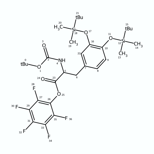 CC(C)(C)OC(=O)NC(Cc1ccc(O[Si](C)(C)C(C)(C)C)c(O[Si](C)(C)C(C)(C)C)c1)C(=O)Oc1c(F)c(F)c(F)c(F)c1F